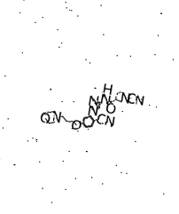 N#Cc1ccc(OCCCN2CCOCC2)cc1-n1cnc(NC(=O)[C@H]2CCN(C#N)C2)c1